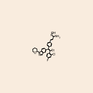 CCC(=C(c1ccc(C=CC(N)=NO)cc1)c1ccc2c(cnn2C2CCCCO2)c1)c1ccc(F)cc1Cl